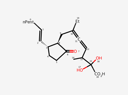 CCCCCC=C[C@H]1CCC(=O)[C@@H]1CC(=C=CC(C)C(O)(O)C(=O)O)CC